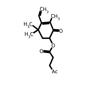 C=CC1=C(C)C(=O)C(OC(=O)CCC(C)=O)CC1(C)C